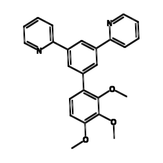 COc1ccc(-c2cc(-c3ccccn3)cc(-c3ccccn3)c2)c(OC)c1OC